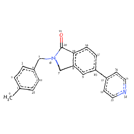 Cc1ccc(CN2Cc3cc(-c4ccncc4)ccc3C2=O)cc1